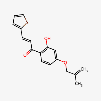 C=C(C)COc1ccc(C(=O)C=Cc2cccs2)c(O)c1